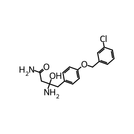 NC(=O)CC(N)(O)Cc1ccc(OCc2cccc(Cl)c2)cc1